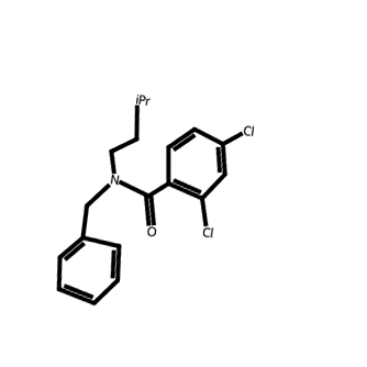 CC(C)CCN(Cc1ccccc1)C(=O)c1ccc(Cl)cc1Cl